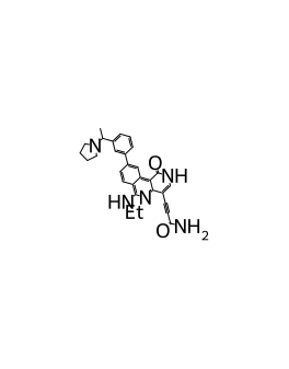 CCNc1nc2c(C#CC(N)=O)c[nH]c(=O)c2c2cc(-c3cccc(C(C)N4CCCC4)c3)ccc12